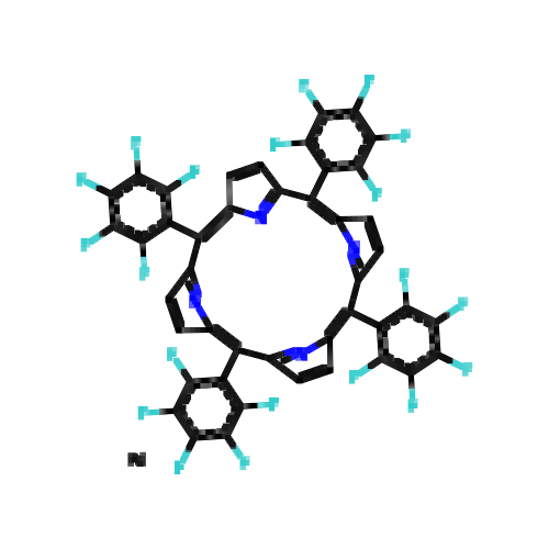 Fc1c(F)c(F)c(C2=C3C=CC(=N3)C(c3c(F)c(F)c(F)c(F)c3F)=C3C=CC(=N3)C(c3c(F)c(F)c(F)c(F)c3F)=C3C=CC(=N3)C(c3c(F)c(F)c(F)c(F)c3F)=C3C=CC2=N3)c(F)c1F.[Pd]